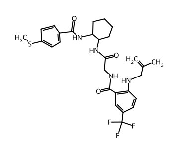 C=C(C)CNc1ccc(C(F)(F)F)cc1C(=O)NCC(=O)NC1CCCCC1NC(=O)c1ccc(SC)cc1